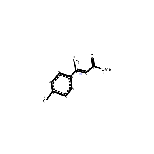 COC(=O)/C=C(/c1ccc(Cl)cc1)C(F)(F)F